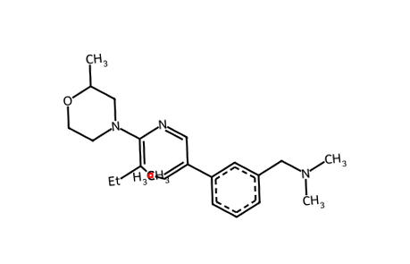 C\C=C(/C=N\C(=C(/C)CC)N1CCOC(C)C1)c1cccc(CN(C)C)c1